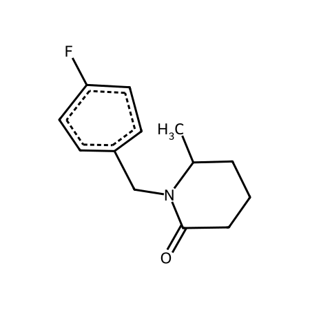 CC1CCCC(=O)N1Cc1ccc(F)cc1